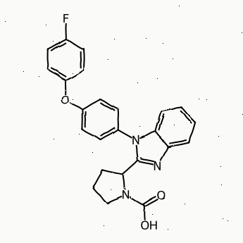 O=C(O)N1CCCC1c1nc2ccccc2n1-c1ccc(Oc2ccc(F)cc2)cc1